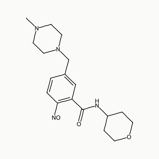 CN1CCN(Cc2ccc(N=O)c(C(=O)NC3CCOCC3)c2)CC1